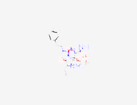 CC(C)CC(N)C(=O)N(C(=O)CCCc1ccccc1)C(O)(C(=O)O)C(N)C(N)=O